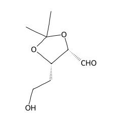 CC1(C)O[C@@H](CCO)[C@@H](C=O)O1